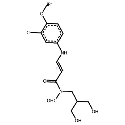 CC(C)Oc1ccc(N/C=C/C(=O)N(C=O)CC(CO)CO)cc1Cl